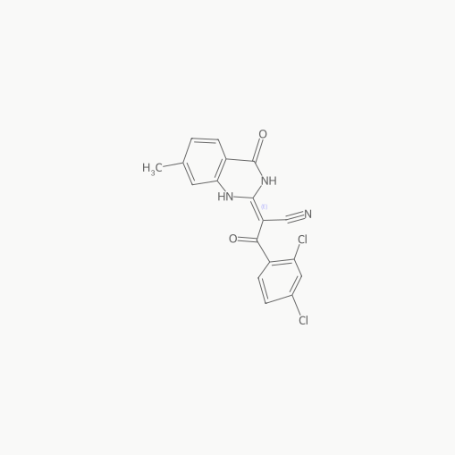 Cc1ccc2c(c1)N/C(=C(/C#N)C(=O)c1ccc(Cl)cc1Cl)NC2=O